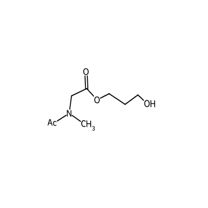 CC(=O)N(C)CC(=O)OCCCO